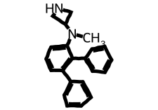 CN(c1cccc(-c2ccccc2)c1-c1ccccc1)C1CNC1